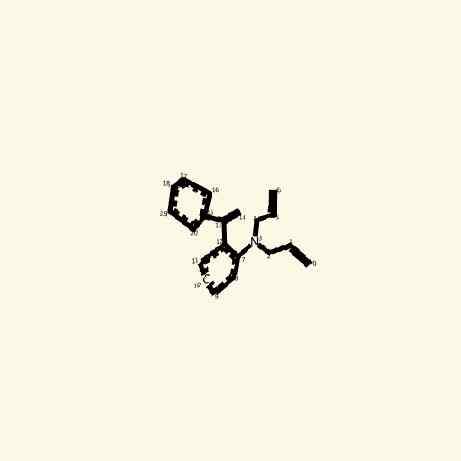 C=CCN(CC=C)c1ccccc1C(=C)c1ccccc1